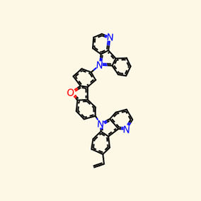 C=Cc1ccc2c(c1)c1ncccc1n2-c1ccc2oc3ccc(-n4c5ccccc5c5ncccc54)cc3c2c1